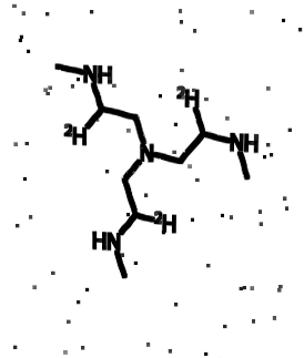 [2H]C(CN(CC([2H])NC)CC([2H])NC)NC